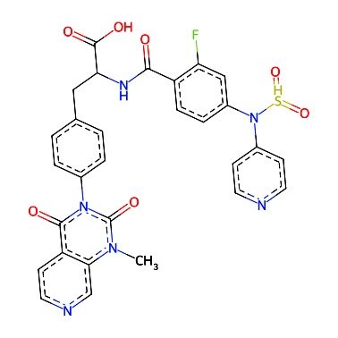 Cn1c(=O)n(-c2ccc(CC(NC(=O)c3ccc(N(c4ccncc4)[SH](=O)=O)cc3F)C(=O)O)cc2)c(=O)c2ccncc21